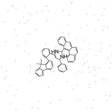 CC1(C)c2ccccc2-c2cccc(-c3ccccc3C3=CC(c4ccccc4)NC(c4c5ccccc5cc5ccc6ccccc6c45)N3)c21